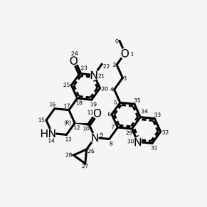 COCCCc1cc(CN(C(=O)[C@H]2CNCCC2c2ccn(C)c(=O)c2)C2CC2)c2ncccc2c1